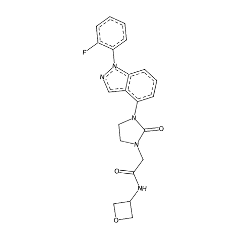 O=C(CN1CCN(c2cccc3c2cnn3-c2ccccc2F)C1=O)NC1COC1